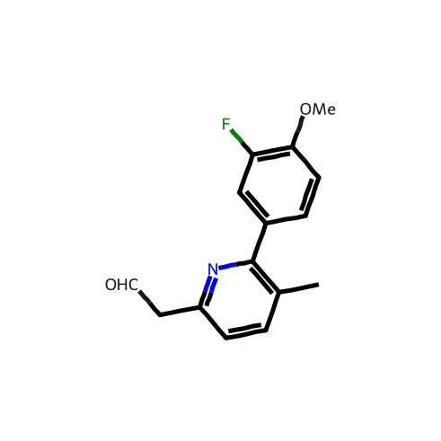 COc1ccc(-c2nc(CC=O)ccc2C)cc1F